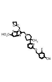 CC1(c2cccc(OCc3ccc(C#N)cc3F)n2)CCN(Cc2nc3cc(C(=O)O)sc3n2C[C@@H]2CCO2)CC1